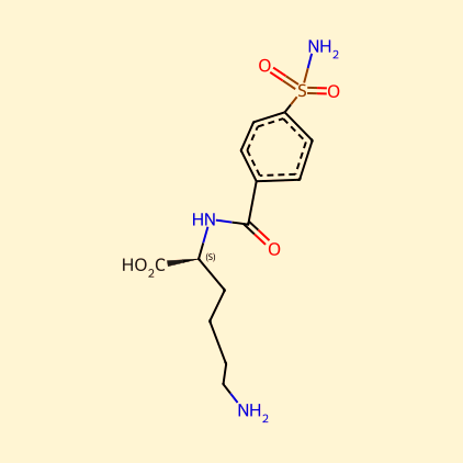 NCCCC[C@H](NC(=O)c1ccc(S(N)(=O)=O)cc1)C(=O)O